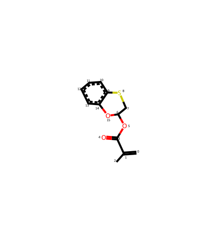 C=C(C)C(=O)OC1CSc2ccccc2O1